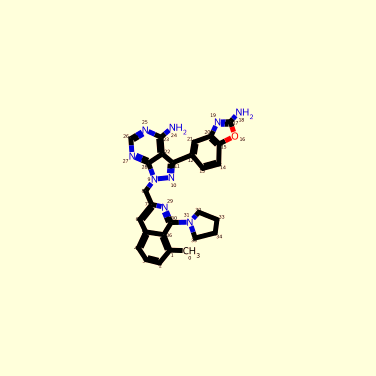 Cc1cccc2cc(Cn3nc(-c4ccc5oc(N)nc5c4)c4c(N)ncnc43)nc(N3CCCC3)c12